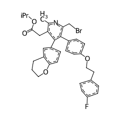 Cc1nc(CBr)c(-c2ccc(OCCc3ccc(F)cc3)cc2)c(-c2ccc3c(c2)CCCO3)c1CC(=O)OC(C)C